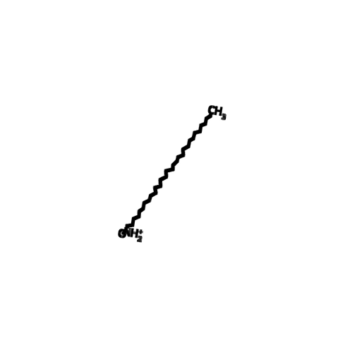 CCCCCCCCCCCCCCCCCCCCCCCCCCCCCCC[NH2+][O-]